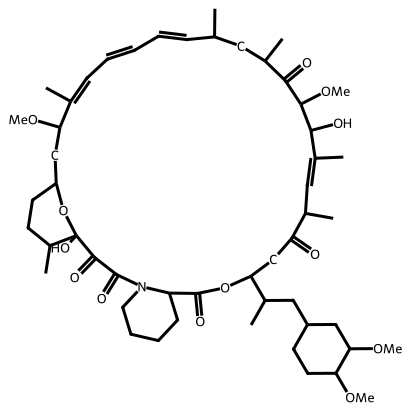 COC1CC2CCC(C)C(O)(O2)C(=O)C(=O)N2CCCCC2C(=O)OC(C(C)CC2CCC(OC)C(OC)C2)CC(=O)C(C)/C=C(\C)C(O)C(OC)C(=O)C(C)CC(C)/C=C/C=C/C=C\1C